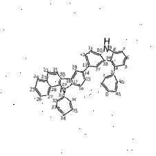 c1ccc(-c2cccc3[nH]c4ccc(-c5ccc6c(c5)c5ccc7ccccc7c5n6-c5ccccc5)cc4c23)cc1